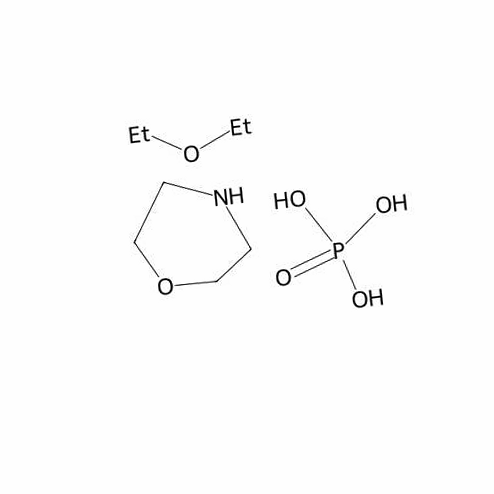 C1COCCN1.CCOCC.O=P(O)(O)O